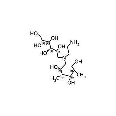 C[C@@H]([C@H](O)[C@H](C)CO)[C@@H](O)CN(CCN)C[C@H](O)[C@@H](O)[C@H](O)[C@H](O)CO